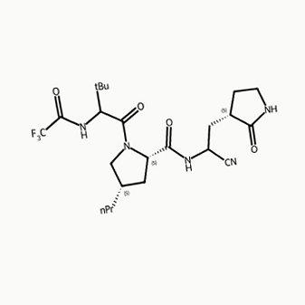 CCC[C@H]1C[C@@H](C(=O)NC(C#N)C[C@@H]2CCNC2=O)N(C(=O)C(NC(=O)C(F)(F)F)C(C)(C)C)C1